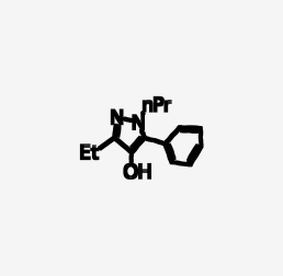 CCCn1nc(CC)c(O)c1-c1ccccc1